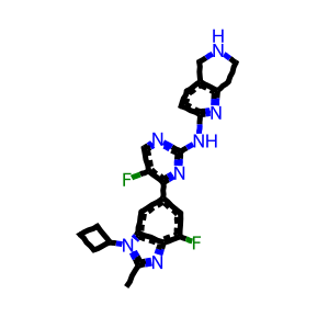 Cc1nc2c(F)cc(-c3nc(Nc4ccc5c(n4)CCNC5)ncc3F)cc2n1C1CCC1